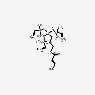 C=C[Si](C)(C)O[Si](CCCOC(=O)C=CC)(O[Si](C)(C)C=C)O[Si](C)(C)C=C